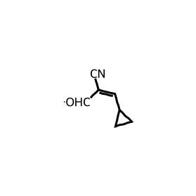 N#C/C([C]=O)=C/C1CC1